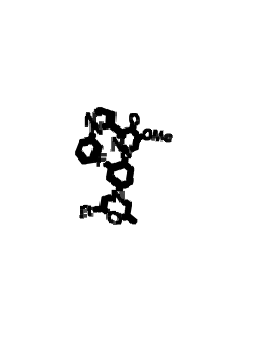 CCC1CN(c2ccc(-n3cc(OC)c(=O)c(-c4ccnn4-c4ccccc4)n3)c(F)c2)CC(C)O1